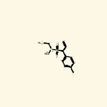 C=CC(c1ccc(C)cc1)S(=O)(=O)N(CCCC)CC(=O)O